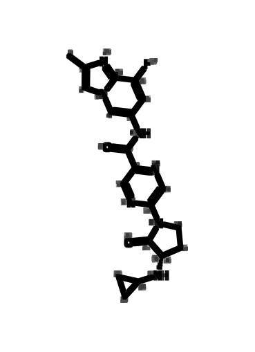 Cc1cn2cc(NC(=O)c3cnc(N4CC[C@H](NC5CC5)C4=O)cn3)cc(F)c2n1